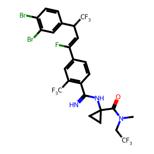 CN(CC(F)(F)F)C(=O)C1(NC(=N)c2ccc(/C(F)=C/C(c3ccc(Br)c(Br)c3)C(F)(F)F)cc2C(F)(F)F)CC1